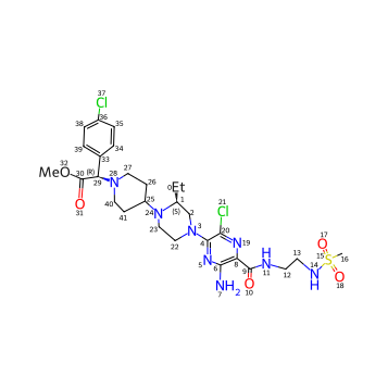 CC[C@H]1CN(c2nc(N)c(C(=O)NCCNS(C)(=O)=O)nc2Cl)CCN1C1CCN([C@@H](C(=O)OC)c2ccc(Cl)cc2)CC1